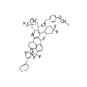 COc1ccc(CO[C@H]2CC(C)(C)Cc3nc(C4CCN(c5ncc(C6=CCCCC6)cn5)CC4)c(C(F)c4ccc(C(F)(F)F)cc4)c(C4CCC(F)(F)CC4)c32)cc1